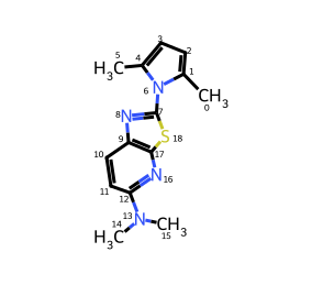 Cc1ccc(C)n1-c1nc2ccc(N(C)C)nc2s1